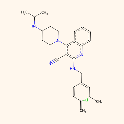 C=C(Cl)/C=C\C(=C/CC)CNc1nc2ccccc2c(N2CCC(NC(C)C)CC2)c1C#N